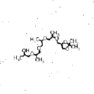 CC(O)COC(C)COCC(C)OCC(C)OCC1COC(C)(C)O1